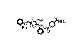 CC(C)C[C@H](NC(=O)COc1ccccc1C(C)(C)C)C(=O)Nc1ccccc1OC(=O)N1CCC(C(N)=O)CC1